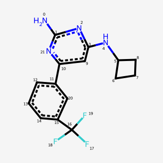 Nc1nc(NC2CCC2)cc(-c2cccc(C(F)(F)F)c2)n1